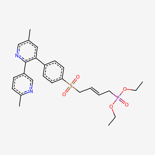 CCOP(=O)(C/C=C/CS(=O)(=O)c1ccc(-c2cc(C)cnc2-c2ccc(C)nc2)cc1)OCC